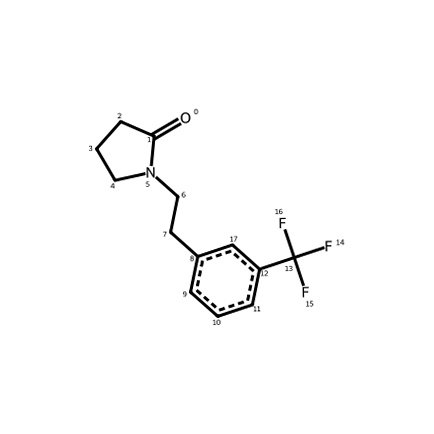 O=C1CCCN1CCc1cccc(C(F)(F)F)c1